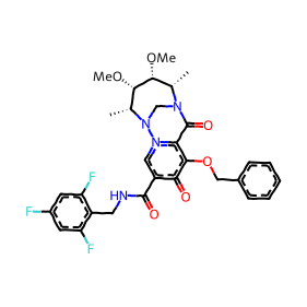 CO[C@@H]1[C@H](OC)[C@H](C)N2CN([C@@H]1C)n1cc(C(=O)NCc3c(F)cc(F)cc3F)c(=O)c(OCc3ccccc3)c1C2=O